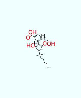 CCCCCCC(C)(C)c1cc(O)c2c(c1)O[C@@](C)(CO)[C@@H]1CC=C(C(=O)O)C[C@@H]21